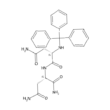 NC(=O)C[C@H](NC(=O)[C@H](CC(N)=O)NC(c1ccccc1)(c1ccccc1)c1ccccc1)C(N)=O